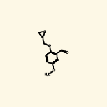 COc1ccc(OCC2CO2)c(C=O)c1